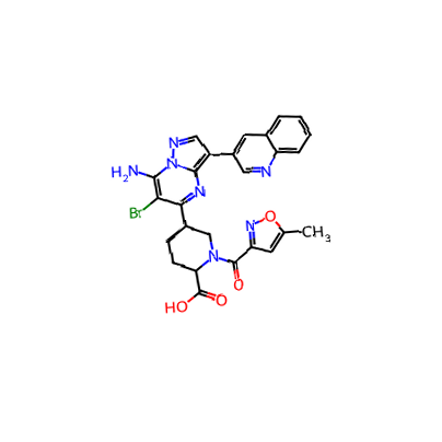 Cc1cc(C(=O)N2CC(c3nc4c(-c5cnc6ccccc6c5)cnn4c(N)c3Br)CCC2C(=O)O)no1